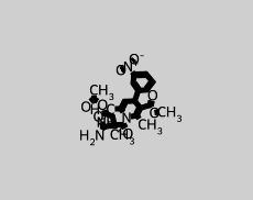 COC(=O)C1=C(C)N(C(=O)C(C)(CC(=O)OC(C)=O)C(N)N)C(C)=CC1c1cccc([N+](=O)[O-])c1